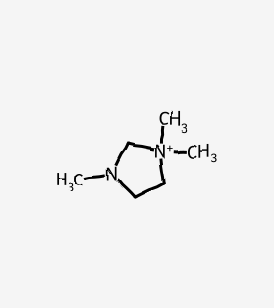 CN1CC[N+](C)(C)C1